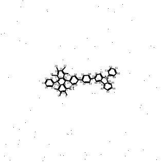 CCc1c(C)c(C)c(C)c2c(-c3ccccc3)c3c(C)c(C)c(C)c(C)c3c(-c3ccc(-c4ccc(-c5ccc6c(c5)c5ccccc5n6-c5ccccc5)cc4)cc3)c12